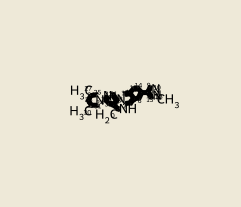 C=C(Nc1cc2cc(-c3cnn(C)c3)ccc2cn1)c1ccnc(N2CC(C)CC(C)C2)c1